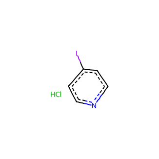 Cl.Ic1ccncc1